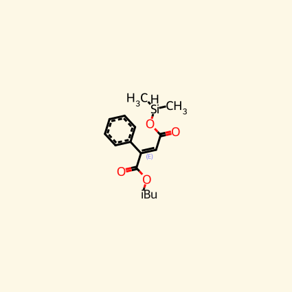 CCC(C)OC(=O)/C(=C/C(=O)O[SiH](C)C)c1ccccc1